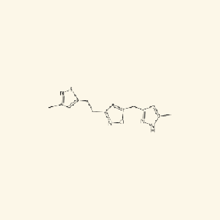 Cc1cc(CCc2cc(Cc3cc(C)[nH]n3)on2)sn1